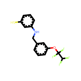 FC(F)C(F)(F)Oc1cccc(CNc2cccc(S)c2)c1